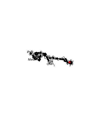 CCC(C)C(C(CC(=O)N1CCCC1C(OC)C(C)C(=O)NC(Cc1ccccc1)C(=O)NCc1ccc(NC(=O)C(CCCNC(N)=O)NC(=O)CNC(=O)COCCOCCOCC(=O)N2CCC(C(=O)Oc3c(F)c(F)c(F)c(F)c3F)CC2C)cc1)OC)N(C)C(=O)CNC(=O)C(C(C)C)N(C)C